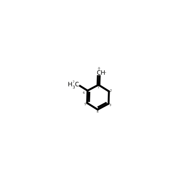 [CH]=C1CC=CC=C1C